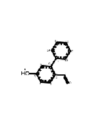 C=Cc1ccc(O)cc1-c1ccccc1